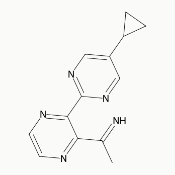 CC(=N)c1nccnc1-c1ncc(C2CC2)cn1